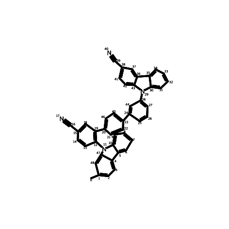 Cc1ccc2c3ccccc3n(-c3ccc(C#N)cc3-c3ccc(-c4cccc(-n5c6ccccc6c6cc(C#N)ccc65)c4)cc3)c2c1